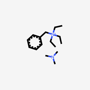 CC[N+](CC)(CC)Cc1ccccc1.CN(C)C